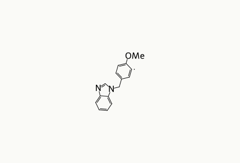 COc1[c]cc(Cn2cnc3ccccc32)cc1